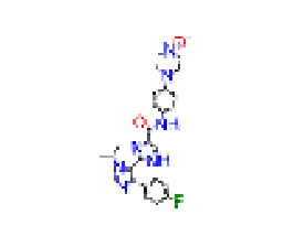 CC(C)n1cnc(-c2ccc(F)cc2)c1-c1nc(C(=O)Nc2ccc(N3CC[N+](C)([O-])CC3)cc2)c[nH]1